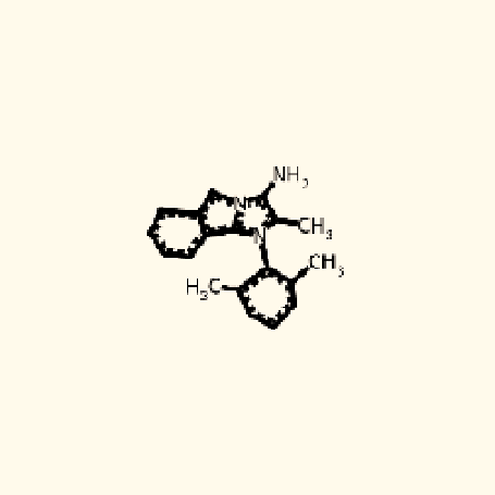 Cc1cccc(C)c1-n1c(C)c(N)n2cc3ccccc3c12